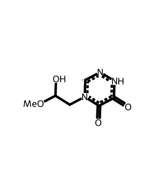 COC(O)Cn1[c]n[nH]c(=O)c1=O